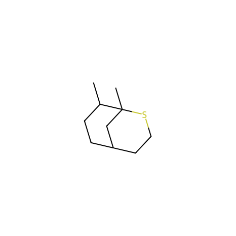 CC1CCC2CCSC1(C)C2